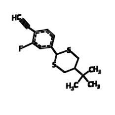 C#Cc1ccc(C2SCC(C(C)(C)C)CS2)cc1F